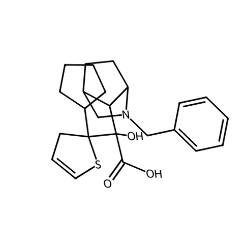 O=C(O)C(O)(C1C2CCC1N(Cc1ccccc1)C2)C1(C2CCCC2)CC=CS1